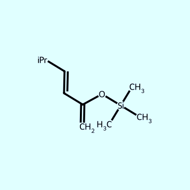 C=C(C=CC(C)C)O[Si](C)(C)C